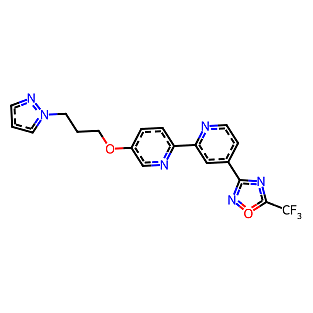 FC(F)(F)c1nc(-c2ccnc(-c3ccc(OCCCn4cccn4)cn3)c2)no1